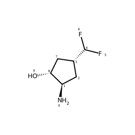 N[C@@H]1C[C@@H](C(F)F)C[C@H]1O